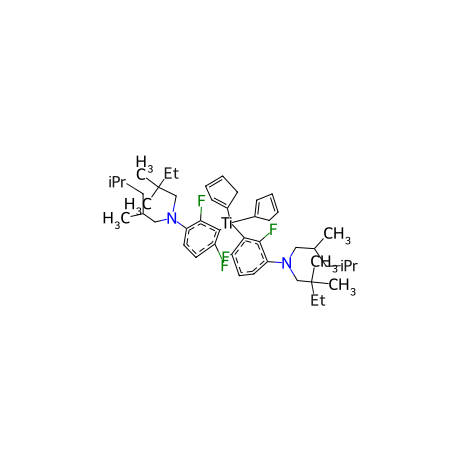 CCC(C)(C)CN(CC(C)CC(C)C)c1ccc(F)[c]([Ti]([C]2=CC=CC2)([C]2=CC=CC2)[c]2c(F)ccc(N(CC(C)CC(C)C)CC(C)(C)CC)c2F)c1F